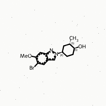 COc1cc2nn([C@@H]3CC[C@H](O)[C@@H](C)C3)cc2cc1Br